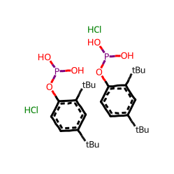 CC(C)(C)c1ccc(OP(O)O)c(C(C)(C)C)c1.CC(C)(C)c1ccc(OP(O)O)c(C(C)(C)C)c1.Cl.Cl